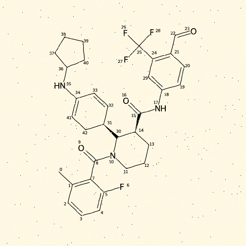 Cc1cccc(F)c1C(=O)N1CCC[C@H](C(=O)Nc2ccc(C=O)c(C(F)(F)F)c2)C1[C@@H]1C=CC(NC2CCCC2)=CC1